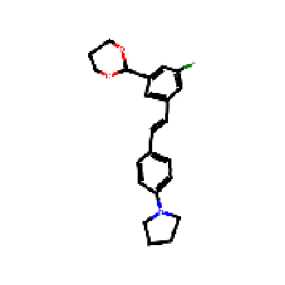 Fc1cc(/C=C/c2ccc(N3CCCC3)cc2)cc(C2OCCCO2)c1